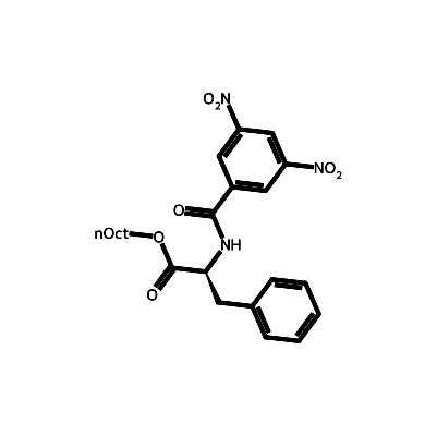 CCCCCCCCOC(=O)[C@H](Cc1ccccc1)NC(=O)c1cc([N+](=O)[O-])cc([N+](=O)[O-])c1